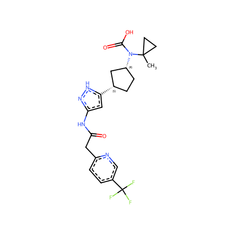 CC1(N(C(=O)O)[C@@H]2CC[C@H](c3cc(NC(=O)Cc4ccc(C(F)(F)F)cn4)n[nH]3)C2)CC1